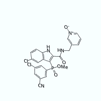 COP(=O)(c1cc(Cl)cc(C#N)c1)c1c(C(=O)NCc2ccc[n+]([O-])c2)[nH]c2ccc(Cl)cc12